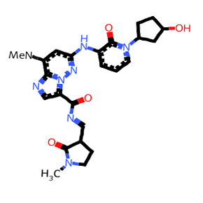 CNc1cc(Nc2cccn(C3CCC(O)C3)c2=O)nn2c(C(=O)/N=C/C3CCN(C)C3=O)cnc12